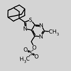 Cc1nc(COS(C)(=O)=O)c2nc(C34CC5CC(CC(C5)C3)C4)sc2n1